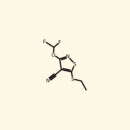 CCSc1snc(OC(F)F)c1C#N